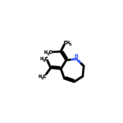 CC(C)=C1C=CCCNC1=C(C)C